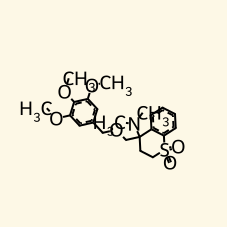 COc1cc(COCC2(N(C)C)CCS(=O)(=O)c3ccccc32)cc(OC)c1OC